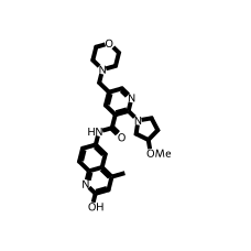 COC1CCN(c2ncc(CN3CCOCC3)cc2C(=O)Nc2ccc3nc(O)cc(C)c3c2)C1